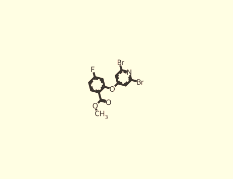 COC(=O)c1ccc(F)cc1Oc1cc(Br)nc(Br)c1